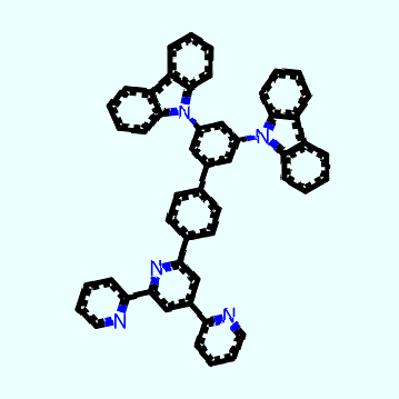 c1ccc(-c2cc(-c3ccc(-c4cc(-n5c6ccccc6c6ccccc65)cc(-n5c6ccccc6c6ccccc65)c4)cc3)nc(-c3ccccn3)c2)nc1